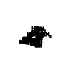 COc1ccc2[nH]cc(C[C@@H]3NC(=O)[C@@H](CC4CCC(O)CC4)NC(=O)[C@@H]4C[C@@H](O)CN4C(=O)[C@@H](NC(=O)[C@H](Cc4ccccc4)NCC(=O)O)CCCNC(=O)[C@H](CCCNC(=N)N)NC3=O)c2c1